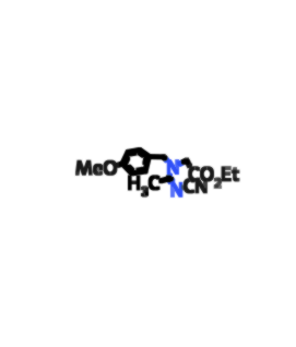 CCOC(=O)CN(Cc1ccc(OC)cc1)/C(C)=N\C#N